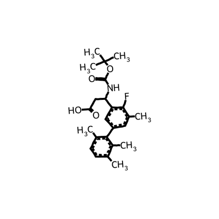 Cc1ccc(C)c(-c2cc(C)c(F)c(C(CC(=O)O)NC(=O)OC(C)(C)C)c2)c1C